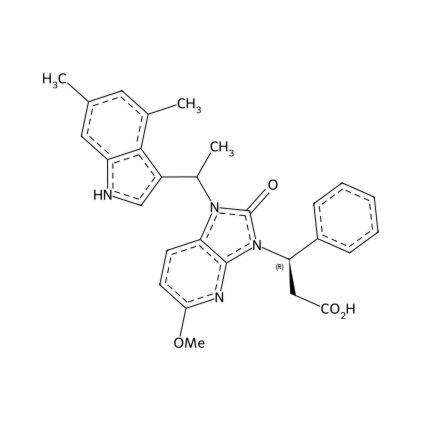 COc1ccc2c(n1)n([C@H](CC(=O)O)c1ccccc1)c(=O)n2C(C)c1c[nH]c2cc(C)cc(C)c12